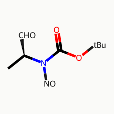 C[C@@H](C=O)N(N=O)C(=O)OC(C)(C)C